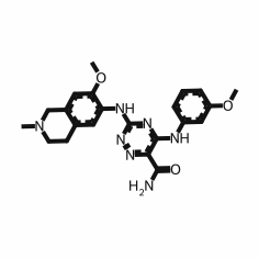 COc1cccc(Nc2nc(Nc3cc4c(cc3OC)CN(C)CC4)nnc2C(N)=O)c1